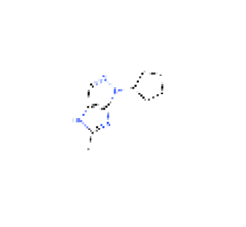 Cc1nc2c(cnn2C2CCCC2)[nH]1